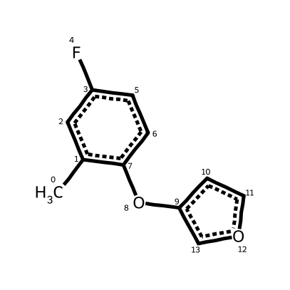 Cc1cc(F)ccc1Oc1ccoc1